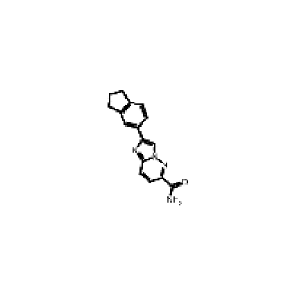 NC(=O)c1ccc2nc(-c3ccc4c(c3)CCC4)cn2n1